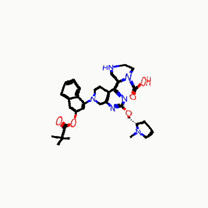 CN1CCC[C@H]1COc1nc2c(c(C3CNCCN3C(=O)O)n1)CCN(c1cc(OC(=O)C(C)(C)C)cc3ccccc13)C2